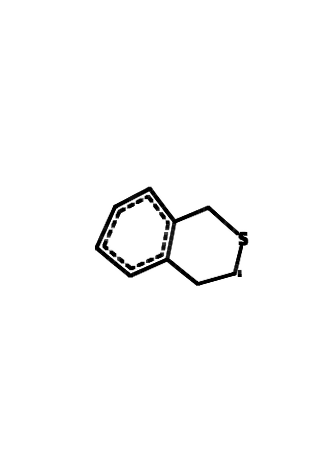 [C]1Cc2ccccc2CS1